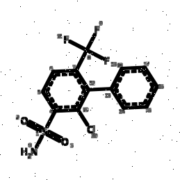 NS(=O)(=O)c1ccc(C(F)(F)F)c(-c2ccccc2)c1Cl